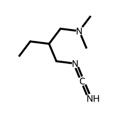 CCC(CN=C=N)CN(C)C